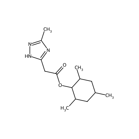 Cc1n[nH]c(CC(=O)OC2C(C)CC(C)CC2C)n1